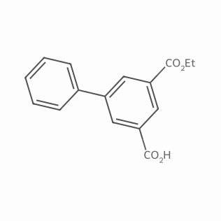 CCOC(=O)c1cc(C(=O)O)cc(-c2ccccc2)c1